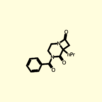 CCCC12CC(=O)N1CCN(C(=O)c1ccccc1)C2=O